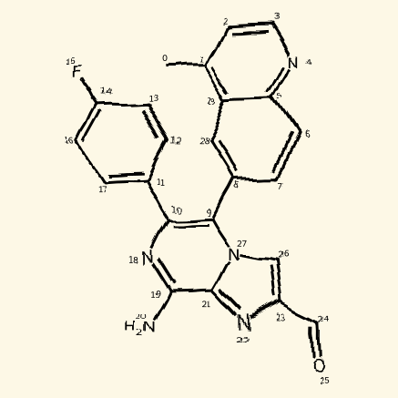 Cc1ccnc2ccc(-c3c(-c4ccc(F)cc4)nc(N)c4nc(C=O)cn34)cc12